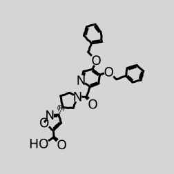 O=C(O)c1cc([C@@H]2CCN(C(=O)c3cc(OCc4ccccc4)c(OCc4ccccc4)cn3)C2)no1